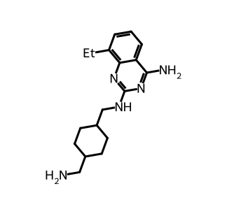 CCc1cccc2c(N)nc(NCC3CCC(CN)CC3)nc12